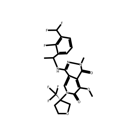 COc1c(=O)n([C@]2(C(F)(F)F)CCOC2)cc2c(NC(C)c3cccc(C(F)F)c3F)nn(C)c(=O)c12